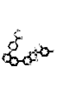 CC(C)(C)OC(=O)N1CCN(c2ncnc3ccc(-c4cnc(Cl)c(NS(=O)(=O)c5ccc(F)cc5F)c4)cc23)CC1